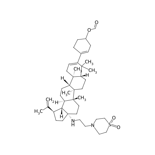 C=C(C)[C@@H]1CC[C@]2(NCCN3CCS(=O)(=O)CC3)CC[C@]3(C)[C@H](CC[C@@H]4[C@@]5(C)CC=C(C6=CCC(OC=O)CC6)C(C)(C)[C@@H]5CC[C@]43C)[C@@H]12